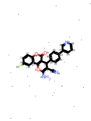 N#CC1=C(N)Oc2c(c(=O)oc3ccc(F)cc23)C1c1ccc(-c2cccnc2)cc1